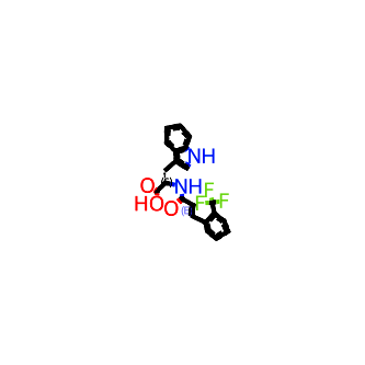 O=C(/C=C/c1ccccc1C(F)(F)F)N[C@@H](Cc1c[nH]c2ccccc12)C(=O)O